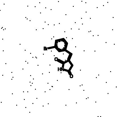 O=C1CC(=Cc2cccc(Br)c2)C(=O)N1